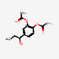 CCCCCC(=O)Oc1ccc(C(O)CNC)cc1OC(=O)CCCCC